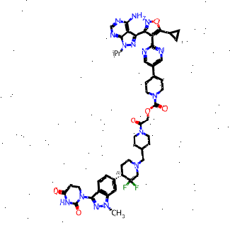 CC(C)n1nc(-c2noc(C3CC3)c2-c2ncc(C3CCN(C(=O)OCC(=O)N4CCC(CN5CC[C@@H](c6ccc7c(N8CCC(=O)NC8=O)nn(C)c7c6)C(F)(F)C5)CC4)CC3)cn2)c2c(N)ncnc21